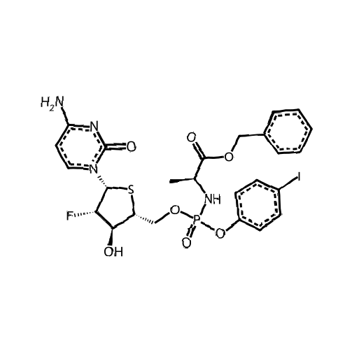 C[C@H](NP(=O)(OC[C@H]1S[C@@H](n2ccc(N)nc2=O)[C@@H](F)[C@@H]1O)Oc1ccc(I)cc1)C(=O)OCc1ccccc1